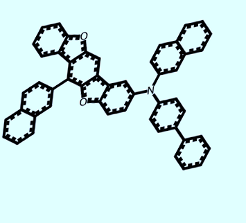 c1ccc(-c2ccc(N(c3ccc4ccccc4c3)c3ccc4oc5c(-c6ccc7ccccc7c6)c6c(cc5c4c3)oc3ccccc36)cc2)cc1